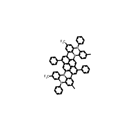 Cc1ccc2c(c1)N(c1ccccc1)c1cc(C(F)(F)F)cc3c1B2c1cc2c(-c4ccccc4)cc4c5c(cc6c(-c7ccccc7)cc-3c1c6c25)B1c2ccc(C(F)(F)F)cc2N(c2ccccc2)c2cc(C)cc-4c21